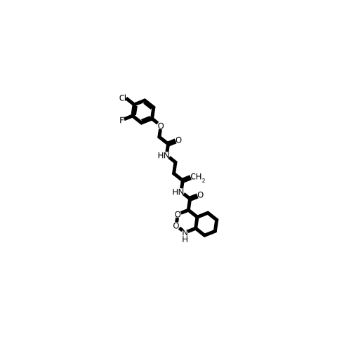 C=C(CCNC(=O)COc1ccc(Cl)c(F)c1)NC(=O)C1OONC2CCCCC21